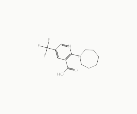 O=C(O)c1cc(C(F)(F)F)cnc1N1CCCCCC1